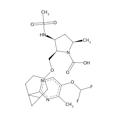 Cc1nc(C23CCC(OC[C@H]4[C@@H](NS(C)(=O)=O)C[C@@H](C)N4C(=O)O)CC2C3)ncc1OC(F)F